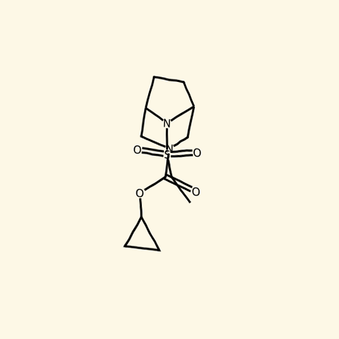 CCS(=O)(=O)N1C2CCC1CN(C(=O)OC1CC1)C2